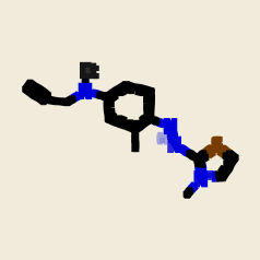 C#CCN(CC)c1ccc(/N=N/c2scc[n+]2C)c(C)c1